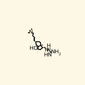 CN(C)CC/C=C/[C@H]1CC[C@]2(C)[C@@H](/C=N/NC(=N)N)CC[C@]2(O)C1